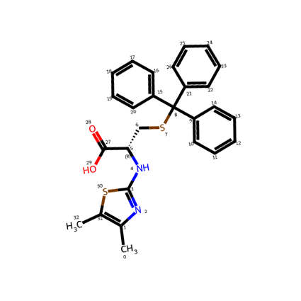 Cc1nc(N[C@@H](CSC(c2ccccc2)(c2ccccc2)c2ccccc2)C(=O)O)sc1C